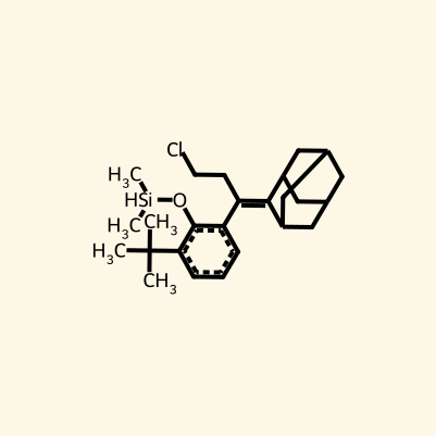 C[SiH](C)Oc1c(C(CCCl)=C2C3CC4CC(C3)CC2C4)cccc1C(C)(C)C